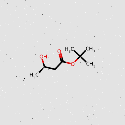 C[C@@H](O)CC(=O)OC(C)(C)C